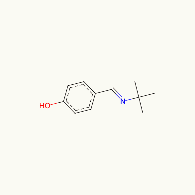 CC(C)(C)N=Cc1ccc(O)cc1